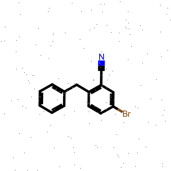 N#Cc1cc(Br)ccc1Cc1ccccc1